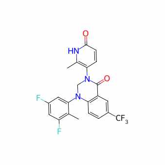 Cc1[nH]c(=O)ccc1N1CN(c2cc(F)cc(F)c2C)c2ccc(C(F)(F)F)cc2C1=O